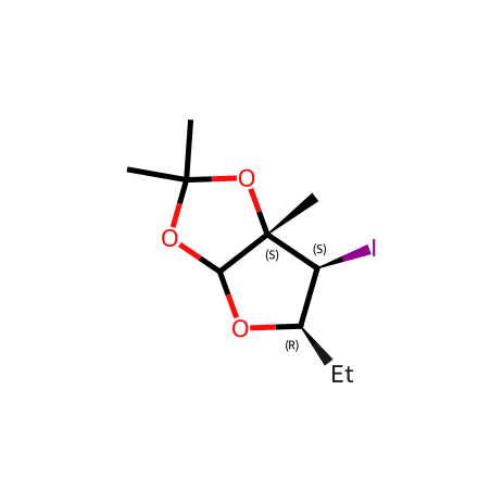 CC[C@H]1OC2OC(C)(C)O[C@]2(C)[C@H]1I